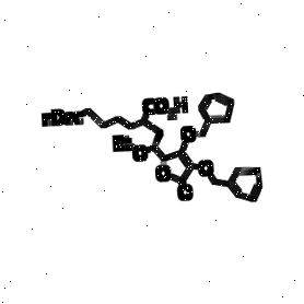 CCCCCCCCCCCCCCC(C[C@H](OCC)[C@H]1OC(=O)C(OCc2ccccc2)=C1OCc1ccccc1)C(=O)O